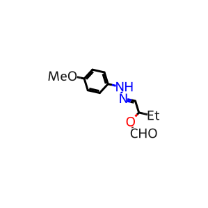 CCC(C=NNc1ccc(OC)cc1)OC=O